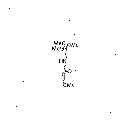 COCCOC(=O)CCNCCC[Si](OC)(OC)OC